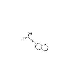 OC(O)C#Cc1ccc2ccccc2c1